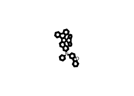 c1ccc(N(c2ccc3c4c(ccc3c2)-c2c(c3ccccc3c3ccccc23)C42c3ccccc3-c3ccccc32)c2ccc3oc4ccccc4c3c2)cc1